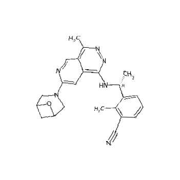 Cc1c(C#N)cccc1[C@@H](C)Nc1nnc(C)c2cnc(N3CC4CC(C3)O4)cc12